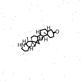 C[C@@H]1CN[C@H]2[C@@H](C)[C@@]3(CC[C@H]4[C@@H]5CC[C@@H]6CC(=O)CC[C@]6(C)[C@H]5CC45CC53C)O[C@@H]2C1